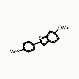 COc1ccc2cc(-c3ccc(SC)cc3)sc2c1